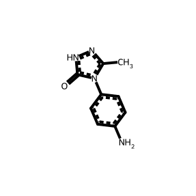 Cc1n[nH]c(=O)n1-c1ccc(N)cc1